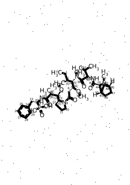 CC[C@H](C)[C@@H]([C@@H](CC(=O)N1CCC[C@H]1[C@H](OC)[C@@H](C)C(=O)N[C@@H](Cc1ccccc1)P(=O)(O)O)OC)N(C)C(=O)[C@@H](NC(=O)[C@@H]1[C@H]2CC[C@H](C2)N1C)C(C)C